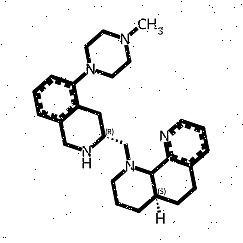 CN1CCN(c2cccc3c2C[C@H](CN2CCC[C@@H]4CCc5cccnc5C42)NC3)CC1